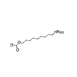 [CH2]CC(=O)OCCCCCCCCCCCCCCCCCC